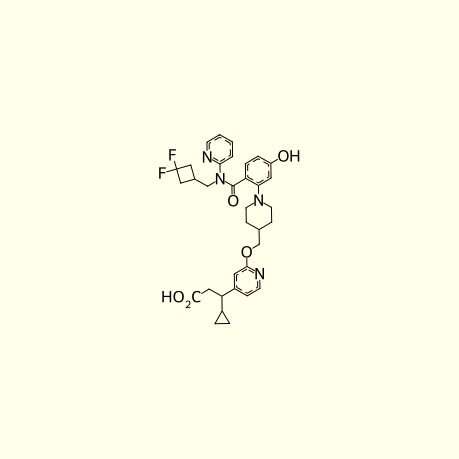 O=C(O)CC(c1ccnc(OCC2CCN(c3cc(O)ccc3C(=O)N(CC3CC(F)(F)C3)c3ccccn3)CC2)c1)C1CC1